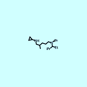 CCC(C(C)C)N(CCCC(C)CNC1CC1)C(C)C